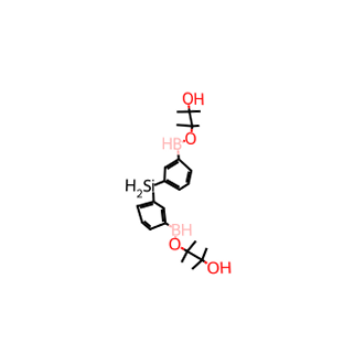 CC(C)(O)C(C)(C)OBc1cccc([SiH2]c2cccc(BOC(C)(C)C(C)(C)O)c2)c1